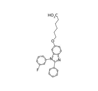 O=C(O)CCCCCOc1ccc2nc(-c3ccccc3)n(-c3cccc(F)c3)c2c1